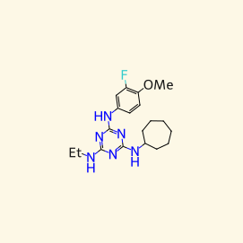 CCNc1nc(Nc2ccc(OC)c(F)c2)nc(NC2CCCCCC2)n1